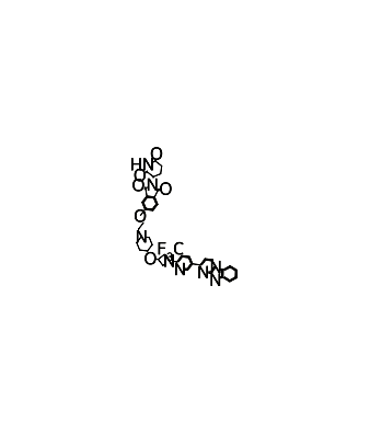 O=C1CCC(N2C(=O)c3ccc(OCCN4CCC(OC5CN(c6ncc(-c7ccn8c(n7)nc7ccccc78)cc6C(F)(F)F)C5)CC4)cc3C2=O)C(=O)N1